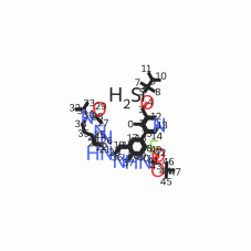 Cc1c(CO[SiH2]C(C)(C)C(C)C)cncc1-c1cc2cc(Nc3cc4n(n3)CC(=O)N(C(C)C)CC4)ncc2c(NC(=O)OC(C)(C)C)c1F